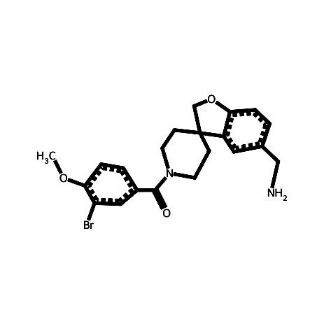 COc1ccc(C(=O)N2CCC3(CC2)COc2ccc(CN)cc23)cc1Br